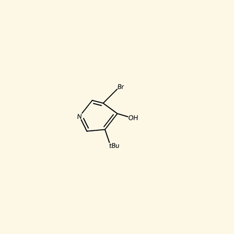 CC(C)(C)c1cncc(Br)c1O